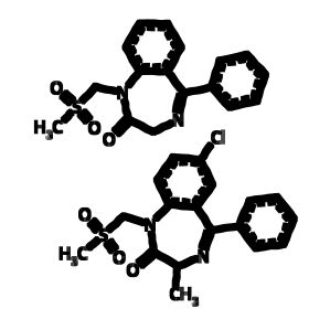 CC1N=C(c2ccccc2)c2cc(Cl)ccc2N(CS(C)(=O)=O)C1=O.CS(=O)(=O)CN1C(=O)CN=C(c2ccccc2)c2ccccc21